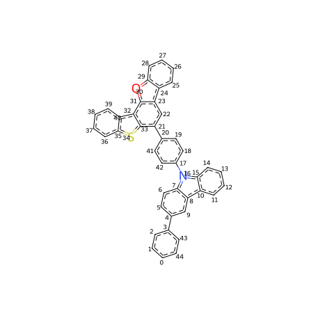 c1ccc(-c2ccc3c(c2)c2ccccc2n3-c2ccc(-c3cc4c5ccccc5oc4c4c3sc3ccccc34)cc2)cc1